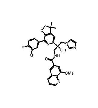 COc1cc(C(=O)NCC(O)(Cn2ccnc2)c2cc3c(c(-c4ccc(F)c(Cl)c4)n2)OCC3(C)C)cc2cccnc12